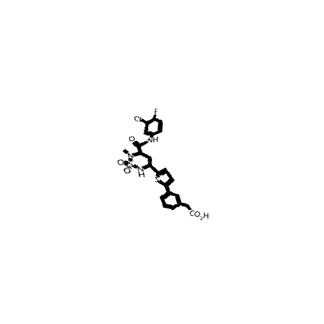 CN1C(C(=O)Nc2ccc(F)c(Cl)c2)CC(c2ccc(-c3cccc(CC(=O)O)c3)s2)NS1(=O)=O